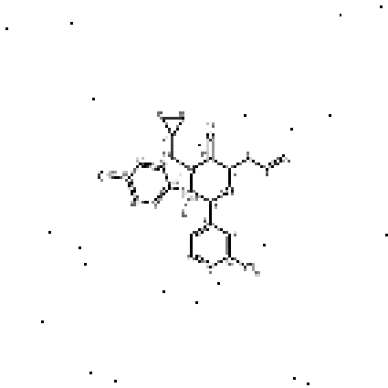 C=CCC1OC(c2cccc(Cl)c2)[C@@](C)(c2ccc(Cl)cc2)N(CC2CC2)C1=O